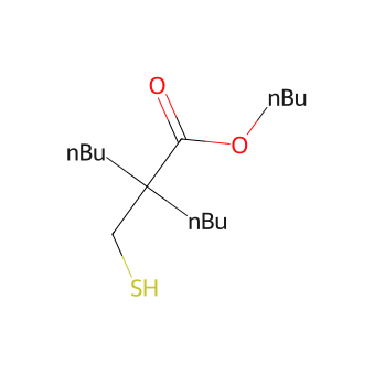 CCCCOC(=O)C(CS)(CCCC)CCCC